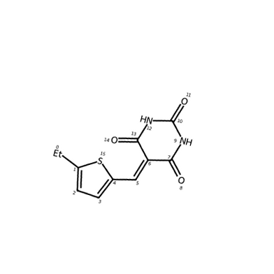 CCc1ccc(C=C2C(=O)NC(=O)NC2=O)s1